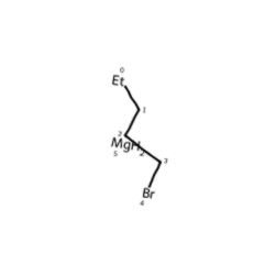 CCCCCBr.[MgH2]